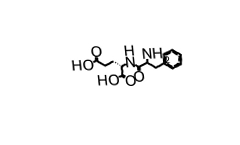 NC(Cc1ccccc1)C(=O)N[C@@H](CCC(=O)O)C(=O)O